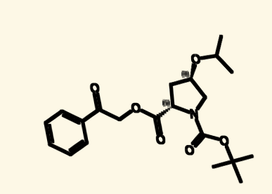 CC(C)O[C@@H]1C[C@@H](C(=O)OCC(=O)c2ccccc2)N(C(=O)OC(C)(C)C)C1